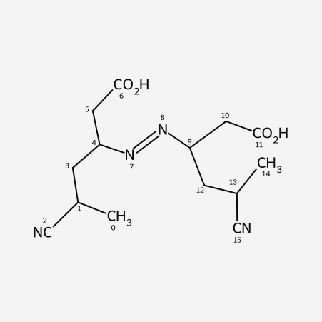 CC(C#N)CC(CC(=O)O)N=NC(CC(=O)O)CC(C)C#N